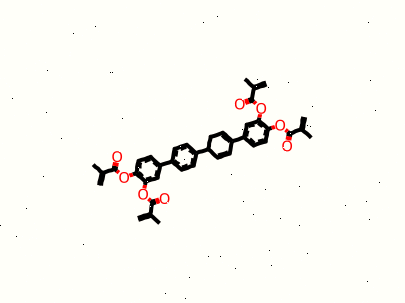 C=C(C)C(=O)Oc1ccc(C2=CCC(c3ccc(-c4ccc(OC(=O)C(=C)C)c(OC(=O)C(=C)C)c4)cc3)C=C2)cc1OC(=O)C(=C)C